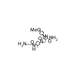 COc1ccc(-n2nc(C(N)=O)c3c2C(=O)N(c2ccc(NC(=O)CCCN)c(C)c2)CC3)cc1